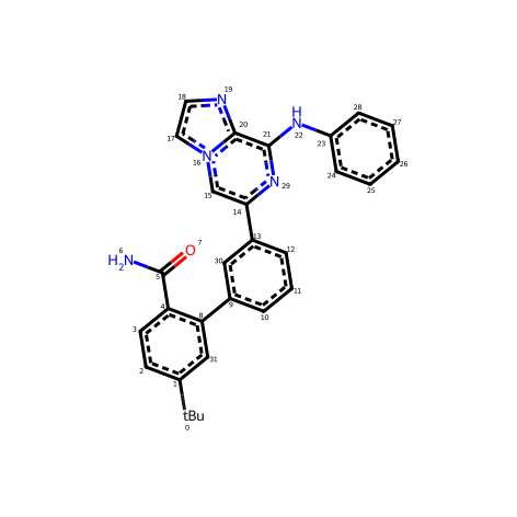 CC(C)(C)c1ccc(C(N)=O)c(-c2cccc(-c3cn4ccnc4c(Nc4ccccc4)n3)c2)c1